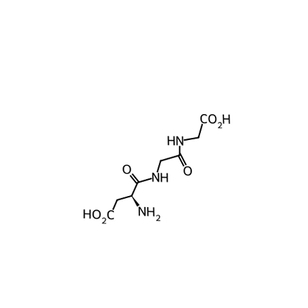 N[C@@H](CC(=O)O)C(=O)NCC(=O)NCC(=O)O